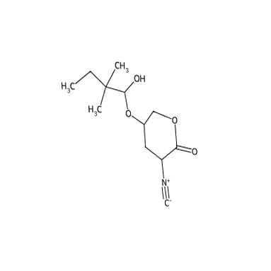 [C-]#[N+]C1CC(OC(O)C(C)(C)CC)COC1=O